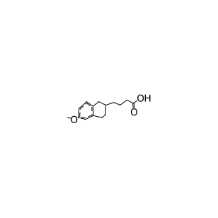 COc1ccc2c(c1)CCC(CCCC(=O)O)C2